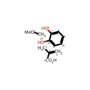 C=C(C)C(=O)O.COC.Oc1ccccc1O